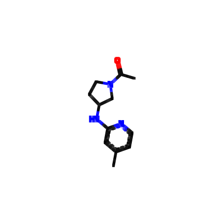 CC(=O)N1CCC(Nc2cc(C)ccn2)C1